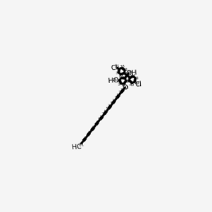 C#CC#CC#CC#CC#CC#CC#CC#CC#CC#CC#COc1cc(O)cc(C(O)(c2ccc(Cl)cc2)c2ccc(Cl)cc2)c1